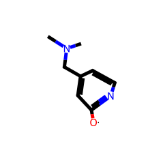 CN(C)Cc1ccnc([O])c1